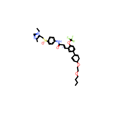 CCCCOCCOC1C=CC(c2ccc(OC(F)(F)F)c(/C=C/C(=O)Nc3ccc([S+]([O-])Cc4c(C)ncn4CC)cc3)c2)=CC1